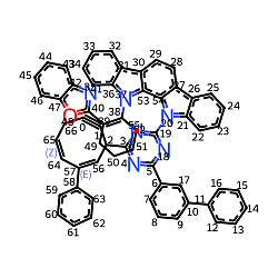 C1#CC(c2nc(-c3cccc(-c4ccccc4)c3)nc(-n3c4ccccc4c4ccc5c6ccccc6n(C6=C(c7nc8ccccc8o7)CCC=C6)c5c43)n2)/C=C(c2ccccc2)\C=C/C1